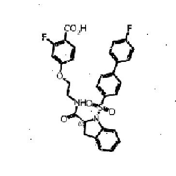 O=C(O)c1ccc(OCCNC(=O)[C@@H]2Cc3ccccc3N2S(=O)(=O)c2ccc(-c3ccc(F)cc3)cc2)cc1F